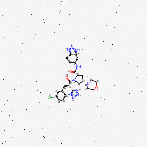 O=C(Nc1ccc2nn[nH]c2c1)[C@@H]1C[C@H](N2CCOCC2)CN1C(=O)C=Cc1cc(Cl)ccc1-n1cnnn1